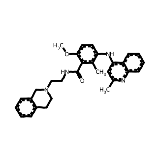 COc1ccc(Nc2cc(C)nc3ccccc23)c(C)c1C(=O)NCCN1CCc2ccccc2C1